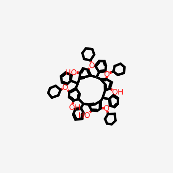 Oc1cc(OC2CCCCC2)c2cc1C(c1ccccc1)c1cc(c(OC3CCCCC3)cc1O)C(c1ccccc1)c1cc(c(OC3CCCCC3)cc1O)C(c1ccccc1)c1cc(c(O)cc1OC1CCCCC1)C2c1ccccc1